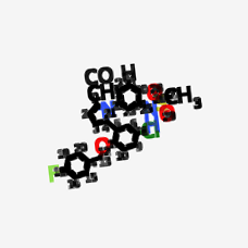 Cc1ccc(-c2cc(Cl)ccc2OCc2ccc(F)cc2)n1-c1cc(NS(C)(=O)=O)cc(C(=O)O)c1